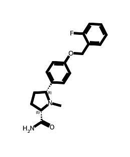 CN1[C@@H](c2ccc(OCc3ccccc3F)cc2)CC[C@H]1C(N)=O